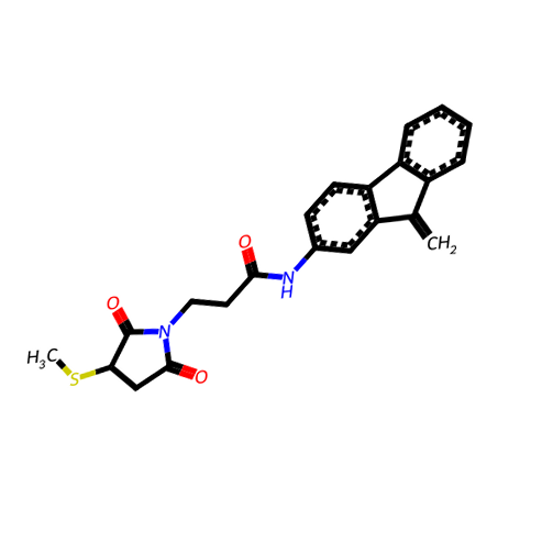 C=C1c2ccccc2-c2ccc(NC(=O)CCN3C(=O)CC(SC)C3=O)cc21